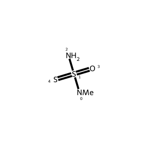 CNS(N)(=O)=S